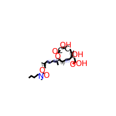 CCCCN(C)C(=O)OC[C@@H](C)/C=C/C=C(\C)[C@H]1OC(=O)C[C@@H](O)CC[C@](C)(O)[C@H](CC(=O)O)/C=C/[C@@H]1C